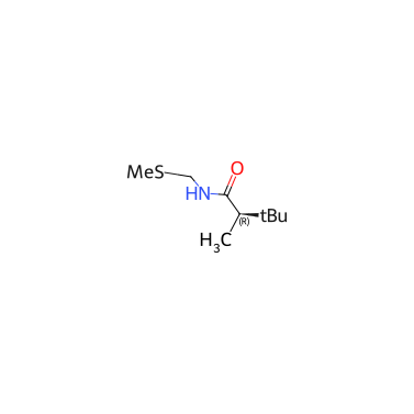 CSCNC(=O)[C@H](C)C(C)(C)C